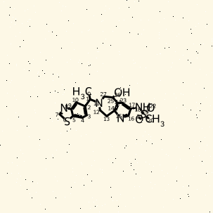 CC(c1ccc2scnc2c1)N1CCc2ncc(NS(C)(=O)=O)cc2C(O)C1